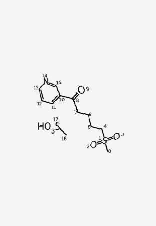 CS(=O)(=O)CCCCC(=O)c1cccnc1.CS(=O)(=O)O